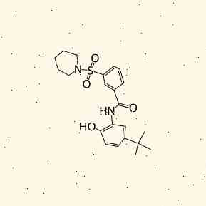 CC(C)(C)c1ccc(O)c(NC(=O)c2cccc(S(=O)(=O)N3CCCCC3)c2)c1